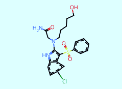 NC(=O)CN(CCCCCO)c1[nH]c2ccc(Cl)cc2c1S(=O)(=O)c1ccccc1